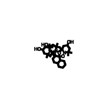 CC1(C)CC(O)CC(C)(C)N1OC1CCC2CCCCC2C1(ON1C(C)(C)CC(O)CC1(C)C)ON1C(C)(C)CC(O)CC1(C)C